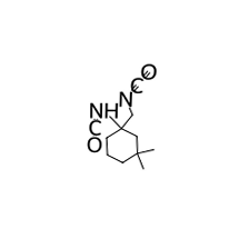 CC1(C)CCCC(C)(CN=C=O)C1.N=C=O